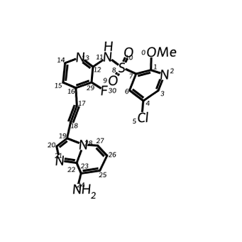 COc1ncc(Cl)cc1S(=O)(=O)Nc1nccc(C#Cc2cnc3c(N)cccn23)c1F